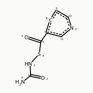 NC(=O)NSC(=O)c1cccnc1